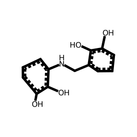 Oc1cccc(CNc2cccc(O)c2O)c1O